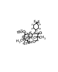 CC[N+](C)(C)C(=O)[C@@H]1C[C@H](N(C(=O)C(C)(C)COC)C2CCC(F)(F)CC2)CN1C(=O)OC(C)(C)C